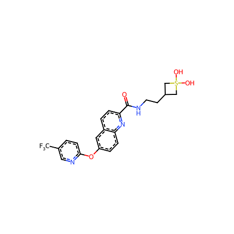 O=C(NCCC1CS(O)(O)C1)c1ccc2cc(Oc3ccc(C(F)(F)F)cn3)ccc2n1